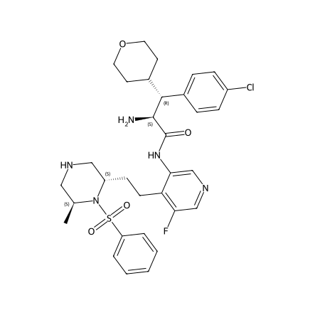 C[C@H]1CNC[C@H](CCc2c(F)cncc2NC(=O)[C@@H](N)[C@@H](c2ccc(Cl)cc2)C2CCOCC2)N1S(=O)(=O)c1ccccc1